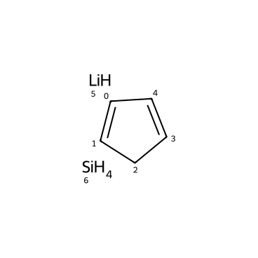 C1=CCC=C1.[LiH].[SiH4]